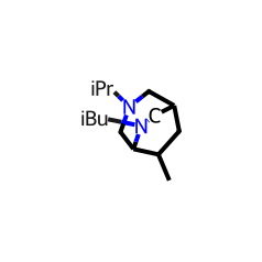 CCC(C)N1CC2CC(C)C1CN(C(C)C)C2